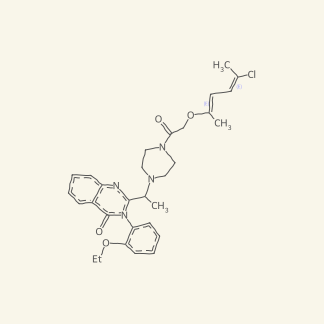 CCOc1ccccc1-n1c(C(C)N2CCN(C(=O)CO/C(C)=C/C=C(\C)Cl)CC2)nc2ccccc2c1=O